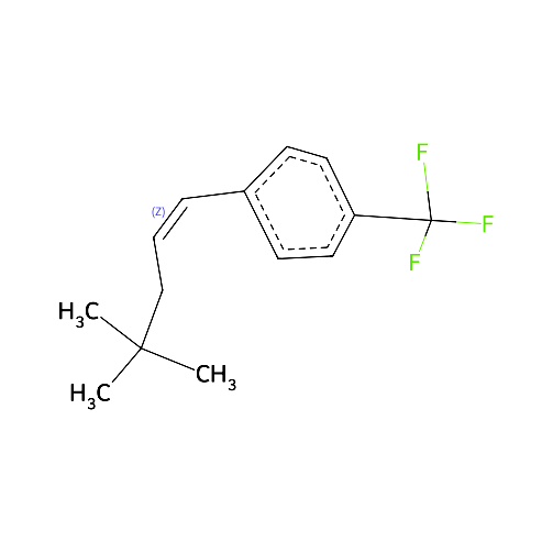 CC(C)(C)C/C=C\c1ccc(C(F)(F)F)cc1